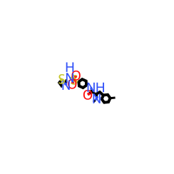 Cc1ccc2c(c1)cc(C(=O)Nc1ccc(S(=O)(=O)Nc3nccs3)cc1)n2C